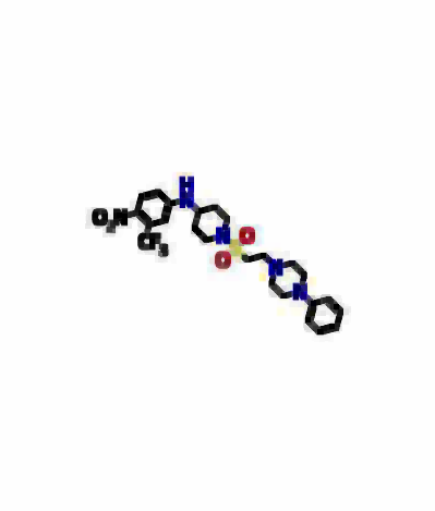 O=[N+]([O-])c1ccc(NC2CCN(S(=O)(=O)CCN3CCN(c4ccccc4)CC3)CC2)cc1C(F)(F)F